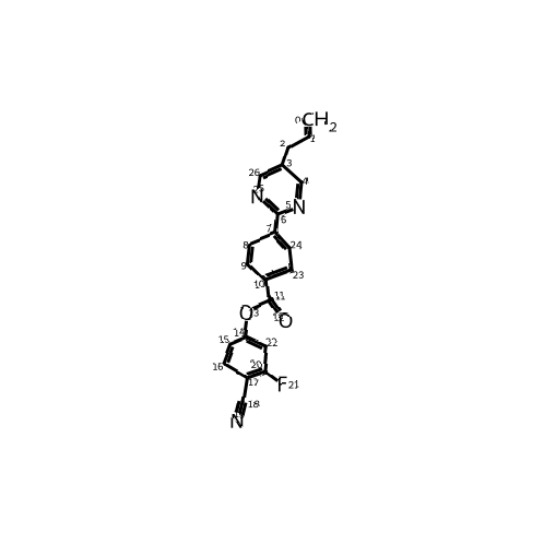 C=CCc1cnc(-c2ccc(C(=O)Oc3ccc(C#N)c(F)c3)cc2)nc1